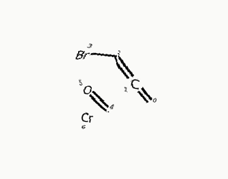 C=C=CBr.[C]=O.[Cr]